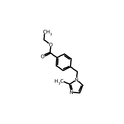 CCOC(=O)c1ccc(Cn2ccnc2C)cc1